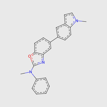 CN(c1ccccc1)c1nc2cc(-c3ccc4c(ccn4C)c3)ccc2o1